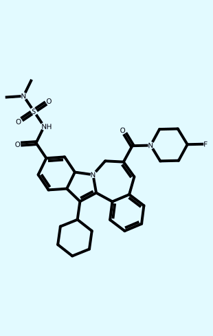 CN(C)S(=O)(=O)NC(=O)C1=CC2C(C=C1)C(C1CCCCC1)=C1c3ccccc3C=C(C(=O)N3CCC(F)CC3)CN12